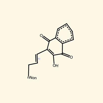 CCCCCCCCCC/C=C/C1=C(O)C(=O)c2ccccc2C1=O